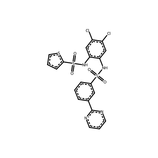 O=S(=O)(Nc1cc(Cl)c(Cl)cc1NS(=O)(=O)c1cccs1)c1cccc(-c2ncccn2)c1